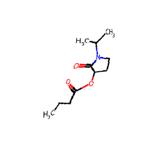 CCCC(=O)OC1CCN(C(C)C)C1=O